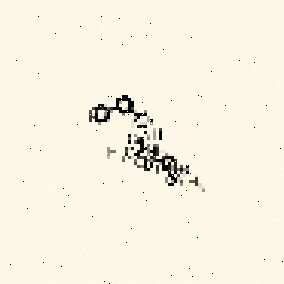 CC(C)C(NC(=O)c1ccn(S(C)(=O)=O)c1)C(=O)Nc1nc(-c2cccc(-c3ccncc3)c2)cs1